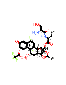 CCCC1O[C@@H]2C[C@H]3[C@@H]4C[C@H](F)C5=CC(=O)C=C[C@]5(C)[C@@]4(F)[C@@H](O)C[C@]3(C)[C@]2(C(=O)COC(=O)[C@H](CC(C)C)NC(=O)[C@@H](N)CO)O1.O=C(O)C(F)(F)F